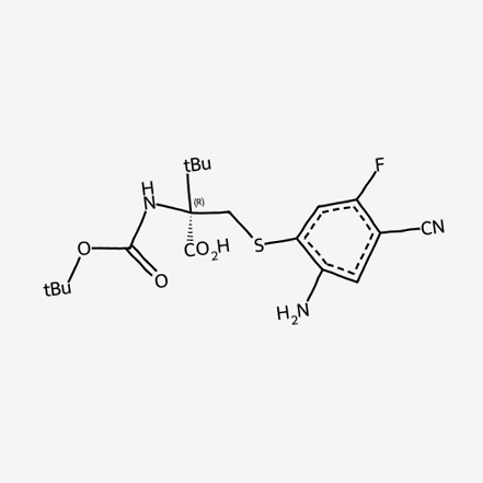 CC(C)(C)OC(=O)N[C@@](CSc1cc(F)c(C#N)cc1N)(C(=O)O)C(C)(C)C